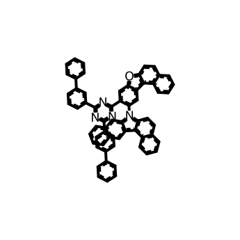 c1ccc(-c2ccc(-c3nc(-c4cccc(-c5ccccc5)c4)nc(-c4cc5oc6ccc7ccccc7c6c5cc4-n4c5cc6ccccc6cc5c5c6ccccc6ccc54)n3)cc2)cc1